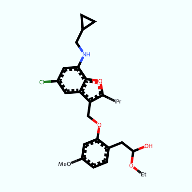 CCOC(O)Cc1ccc(OC)cc1OCc1c(C(C)C)oc2c(NCC3CC3)cc(Cl)cc12